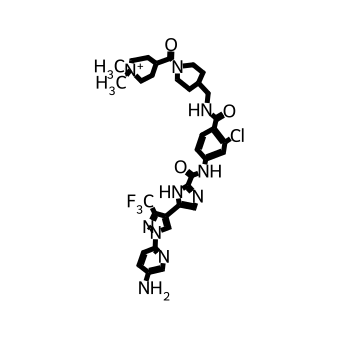 C[N+]1(C)CCC(C(=O)N2CCC(CNC(=O)c3ccc(NC(=O)c4ncc(-c5cn(-c6ccc(N)cn6)nc5C(F)(F)F)[nH]4)cc3Cl)CC2)CC1